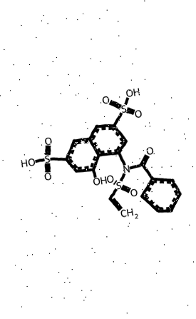 C=CS(=O)(=O)N(C(=O)c1ccccc1)c1cc(S(=O)(=O)O)cc2cc(S(=O)(=O)O)cc(O)c12